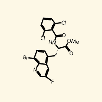 COC(=O)[C@H](Cc1ccc(Br)c2ncc(F)cc12)NC(=O)c1c(Cl)cccc1Cl